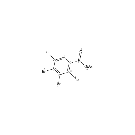 CCc1c(Br)c(F)cc(C(=O)OC)c1I